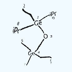 C[CH](C)[Ge]([CH3])([O][Ge]([CH3])([CH3])[CH3])[CH](C)C